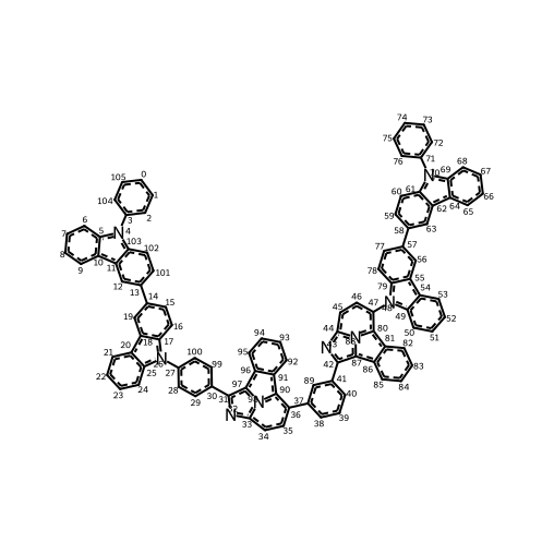 c1ccc(-n2c3ccccc3c3cc(-c4ccc5c(c4)c4ccccc4n5-c4ccc(-c5nc6ccc(-c7cccc(-c8nc9ccc(-n%10c%11ccccc%11c%11cc(-c%12ccc%13c(c%12)c%12ccccc%12n%13-c%12ccccc%12)ccc%11%10)c%10c%11ccccc%11c8n9%10)c7)c7c8ccccc8c5n67)cc4)ccc32)cc1